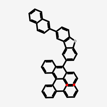 c1ccc(-c2ccccc2-c2c3ccccc3c(-c3ccc4oc5ccc(-c6ccc7ccccc7c6)cc5c4c3)c3ccccc23)cc1